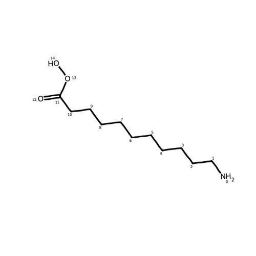 NCCCCCCCCCCC(=O)OO